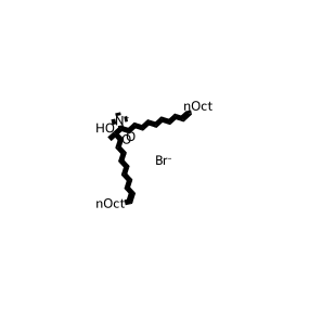 CCCCCCCC/C=C\CCCCCCCC(=O)C(C(C)(O)C(=O)CCCCCCC/C=C\CCCCCCCC)[N+](C)(C)C.[Br-]